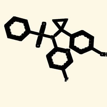 O=S(=O)(c1ccccc1)N(c1ccc(F)cn1)C1(c2ccc(O)cc2)CC1